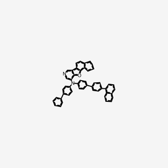 c1ccc(-c2ccc(N(c3ccc(-c4ccc(-c5cccc6ccccc56)cc4)cc3)c3cncc4c3oc3c5ccccc5ccc43)cc2)cc1